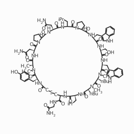 CCCC[C@H]1C(=O)N(C)[C@@H](CCCC)C(=O)N[C@@H](CC(C)C)C(=O)NC(C(=O)NCC(N)=O)CSCC(=O)N[C@@H](Cc2ccc(O)cc2)C(=O)N(C)[C@@H](C)C(=O)N[C@@H](CC(N)=O)C(=O)N2CCC[C@H]2C(=O)N[C@@H](CC(N)=O)C(=O)NC(CC(C)C)C(=O)N2CCC[C@H]2C(=O)N[C@@H](Cc2c[nH]c3ccccc23)C(=O)N[C@@H](CO)C(=O)N[C@@H](Cc2c[nH]c3ccccc23)C(=O)N1C